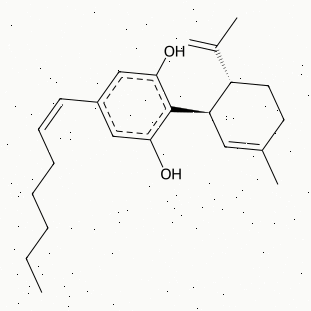 C=C(C)[C@@H]1CCC(C)=C[C@H]1c1c(O)cc(/C=C\CCCCC)cc1O